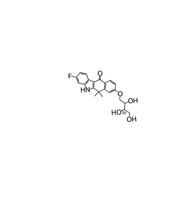 CC1(C)c2cc(OCC(O)[C@H](O)CO)ccc2C(=O)c2c1[nH]c1cc(F)ccc21